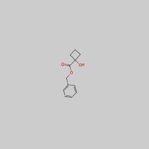 O=C(OCc1ccccc1)C1(O)CCC1